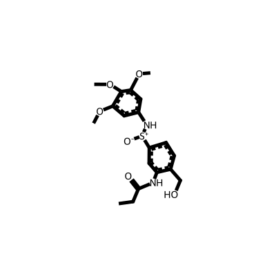 CCC(=O)Nc1cc([S+]([O-])Nc2cc(OC)c(OC)c(OC)c2)ccc1CO